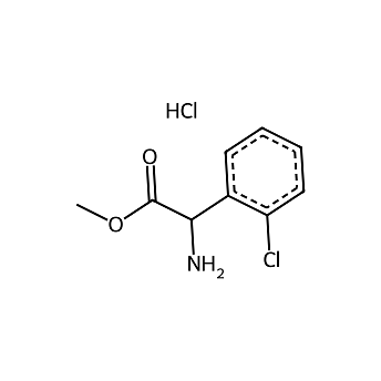 COC(=O)C(N)c1ccccc1Cl.Cl